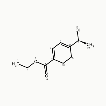 CCOC(=O)C1=CC=C([C@H](C)O)CC1